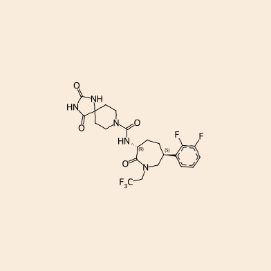 O=C1NC(=O)C2(CCN(C(=O)N[C@@H]3CC[C@@H](c4cccc(F)c4F)CN(CC(F)(F)F)C3=O)CC2)N1